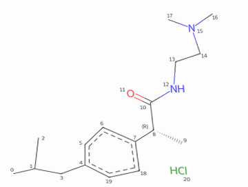 CC(C)Cc1ccc([C@@H](C)C(=O)NCCN(C)C)cc1.Cl